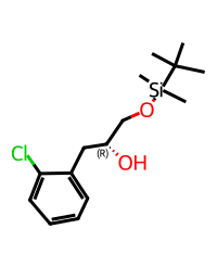 CC(C)(C)[Si](C)(C)OC[C@H](O)Cc1ccccc1Cl